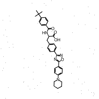 CC(C)(C)c1ccc(C(=O)NC(Cc2ccc(-c3noc(-c4ccc(N5CCCCC5)cc4)n3)cc2)C(=O)O)cc1